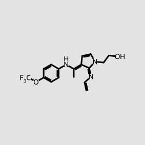 C=C/N=C1\C(=C(/C)Nc2ccc(OC(F)(F)F)cc2)C=CN1CCO